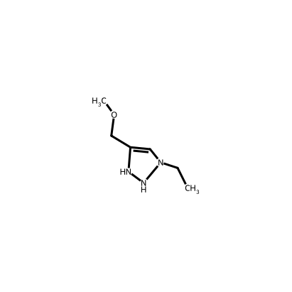 CCN1C=C(COC)NN1